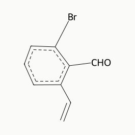 C=Cc1cccc(Br)c1C=O